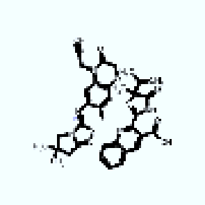 C#CCN1C(=O)COc2cc(F)c(/N=c3\snc4n3CC(C)(C)C4)cc21.CC(C)C1(C)N=C(c2nc3ccccc3cc2C(=O)O)NC1=O